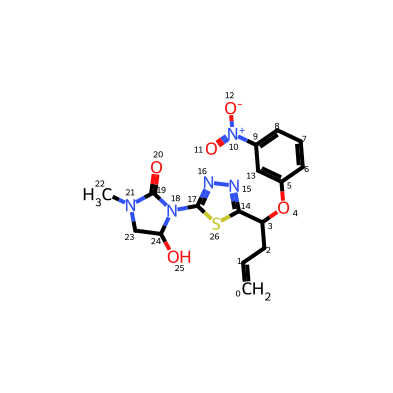 C=CCC(Oc1cccc([N+](=O)[O-])c1)c1nnc(N2C(=O)N(C)CC2O)s1